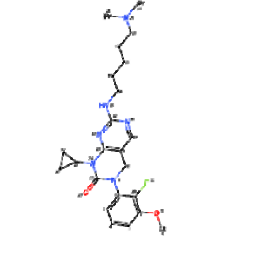 CCOc1cccc(N2Cc3cnc(NCCCCCN(C(C)C)C(C)C)nc3N(C3CC3)C2=O)c1F